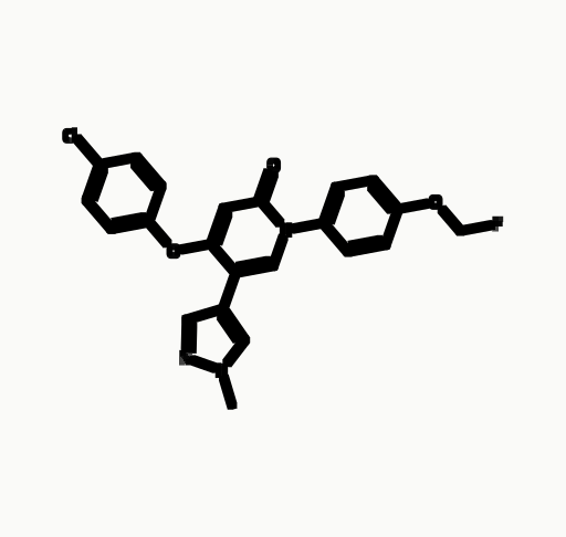 Cn1cc(-c2cn(-c3ccc(OCF)cc3)c(=O)cc2Oc2ccc(Cl)cc2)cn1